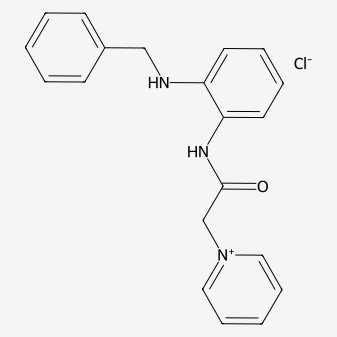 O=C(C[n+]1ccccc1)Nc1ccccc1NCc1ccccc1.[Cl-]